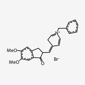 COc1cc2c(cc1OC)C(=O)C(C=C1C=C[N+](Cc3ccccc3)=CC1)C2.[Br-]